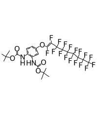 CC(C)(C)OC(=O)Nc1ccc(OC(F)=C(F)C(F)(F)C(F)(F)C(F)(F)C(F)(F)C(F)(F)C(F)(F)C(F)(F)F)cc1NC(=O)OC(C)(C)C